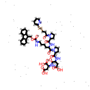 O=C(O)CC(NC(=O)C(CC(=O)O)NC(=O)C1CCCN1C(=O)C(CCCCNC(=O)OCC1c2ccccc2-c2ccccc21)NC(=O)C1CCCN1C(=O)CCSSc1ccccn1)C(=O)O